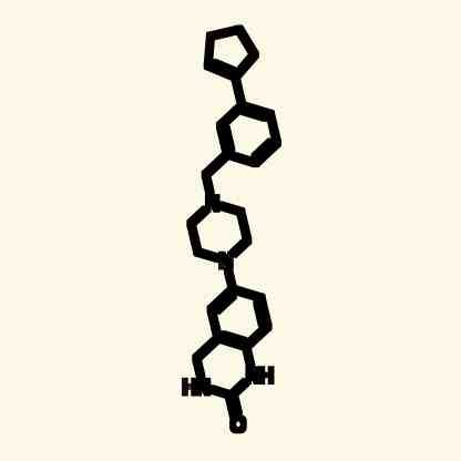 O=C1NCc2cc(N3CCN(Cc4cccc(C5=CCCC5)c4)CC3)ccc2N1